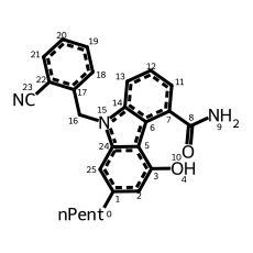 CCCCCc1cc(O)c2c3c(C(N)=O)cccc3n(Cc3ccccc3C#N)c2c1